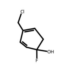 OC1(F)C=CC(CCl)=CC1